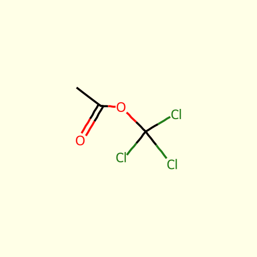 CC(=O)OC(Cl)(Cl)Cl